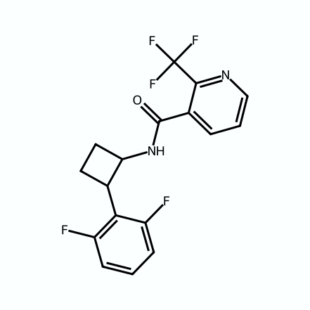 O=C(NC1CCC1c1c(F)cccc1F)c1cccnc1C(F)(F)F